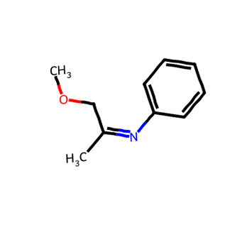 COCC(C)=Nc1ccccc1